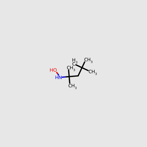 CC(C)(C)CC(C)(C)NO